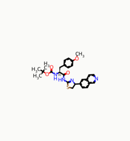 COc1ccc(C[C@H](NC(=O)OC(C)(C)C)C(=O)NC2=NC(c3ccc4cnccc4c3)CS2)cc1